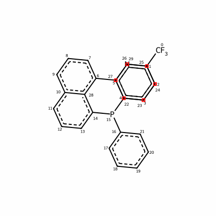 FC(F)(F)c1cccc(-c2cccc3cccc(P(c4ccccc4)c4ccccc4)c23)n1